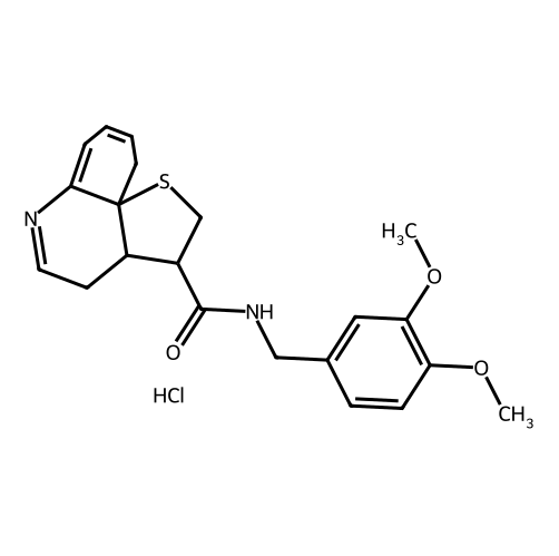 COc1ccc(CNC(=O)C2CSC34CC=CC=C3N=CCC24)cc1OC.Cl